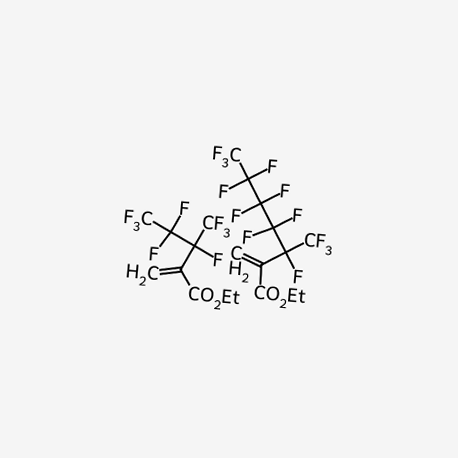 C=C(C(=O)OCC)C(F)(C(F)(F)F)C(F)(F)C(F)(F)C(F)(F)C(F)(F)F.C=C(C(=O)OCC)C(F)(C(F)(F)F)C(F)(F)C(F)(F)F